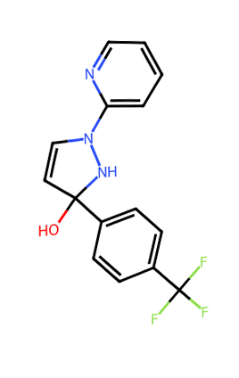 OC1(c2ccc(C(F)(F)F)cc2)C=CN(c2ccccn2)N1